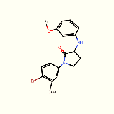 CCOc1cccc(NC2CCN(c3ccc(Br)c(OC)c3)C2=O)c1